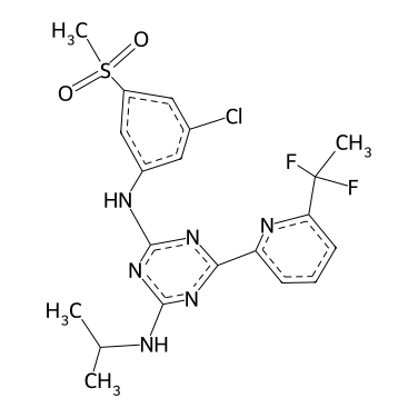 CC(C)Nc1nc(Nc2cc(Cl)cc(S(C)(=O)=O)c2)nc(-c2cccc(C(C)(F)F)n2)n1